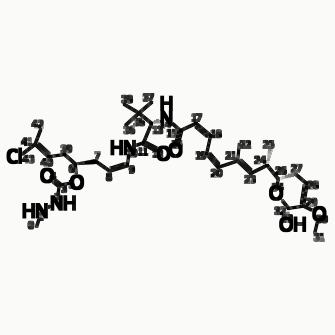 CNNC(=O)O[C@H](C/C=C\NC(=O)[C@@H](NC(=O)\C=C/C=C\C(C)=C\[C@H](C)[C@@H]1CC=C(OC)[C@H](O)O1)C(C)(C)C)C/C=C(\C)Cl